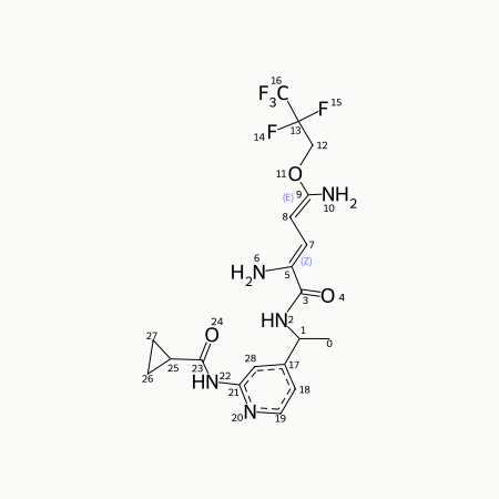 CC(NC(=O)/C(N)=C/C=C(\N)OCC(F)(F)C(F)(F)F)c1ccnc(NC(=O)C2CC2)c1